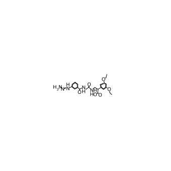 CCOc1cc(OCC)cc(C(CNC(=O)CNC(=O)c2cccc(NC=NN)c2)C(=O)O)c1